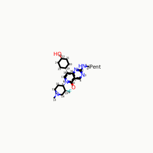 CCCC(C)Nc1ncc2c(=O)n([C@H]3CCN(C)C[C@@H]3F)cc([C@H]3CC[C@H](O)CC3)c2n1